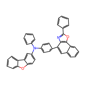 c1ccc(-c2nc3c(-c4ccc(N(c5ccccc5)c5ccc6oc7ccccc7c6c5)cc4)cc4ccccc4c3o2)cc1